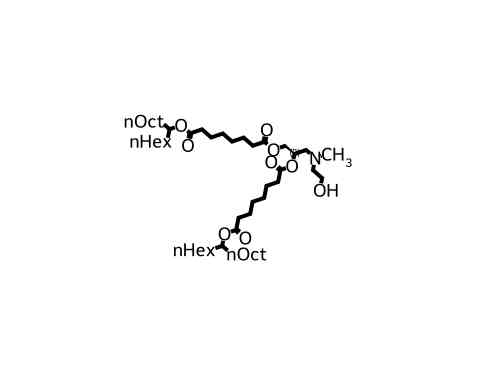 CCCCCCCCC(CCCCCC)OC(=O)CCCCCCC(=O)OC[C@@H](CN(C)CCO)OC(=O)CCCCCCC(=O)OC(CCCCCC)CCCCCCCC